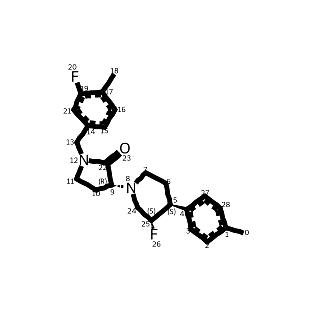 Cc1ccc([C@@H]2CCN([C@@H]3CCN(Cc4ccc(C)c(F)c4)C3=O)C[C@H]2F)cc1